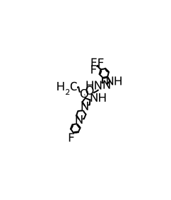 C=CCO[C@H]1CN(C2CCN(c3ccc(F)cc3)CC2)CC1NC(=O)CNc1n[nH]c2ccc(C(F)(F)F)cc12